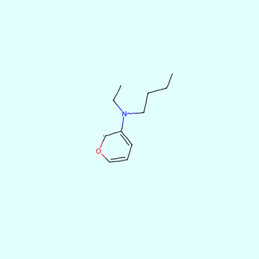 CCCCN(CC)C1=CC=CO[C]1